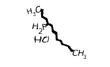 CCCCCCCCCC(P)CCCC.Cl